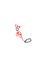 O=C(OOCCc1ccccc1)c1ccc(O)cc1